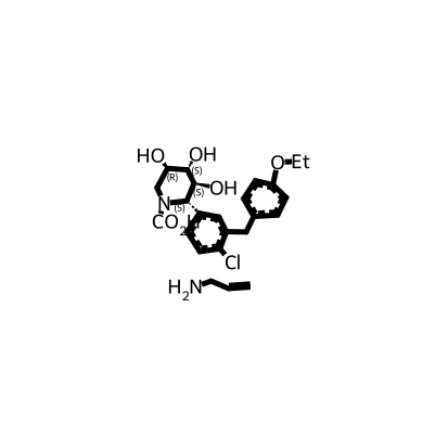 C=CCN.CCOc1ccc(Cc2cc([C@H]3[C@H](O)[C@@H](O)[C@H](O)CN3C(=O)O)ccc2Cl)cc1